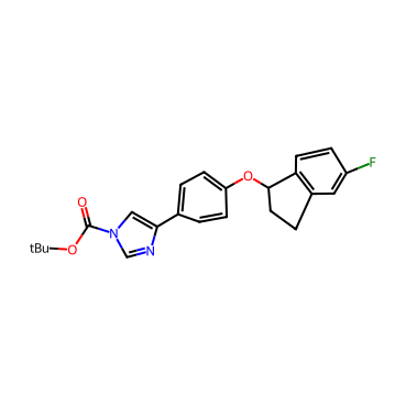 CC(C)(C)OC(=O)n1cnc(-c2ccc(OC3CCc4cc(F)ccc43)cc2)c1